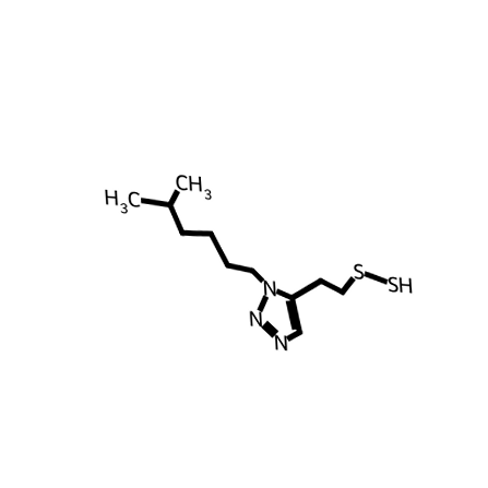 CC(C)CCCCn1nncc1CCSS